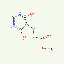 COC(=O)CCc1c(O)ncnc1O